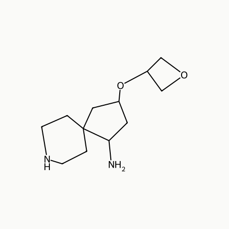 NC1CC(OC2COC2)CC12CCNCC2